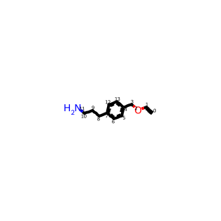 C=COCc1ccc(CCCN)cc1